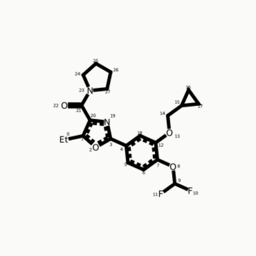 CCc1oc(-c2ccc(OC(F)F)c(OCC3CC3)c2)nc1C(=O)N1C[CH]CC1